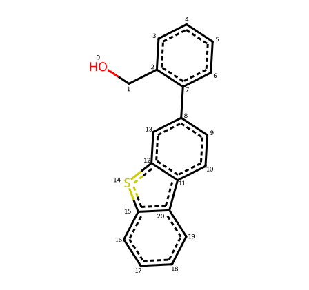 OCc1ccccc1-c1ccc2c(c1)sc1ccccc12